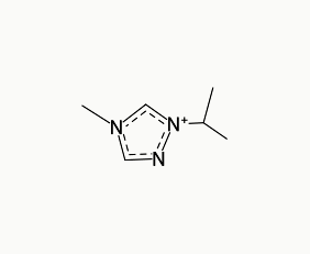 CC(C)[n+]1cn(C)cn1